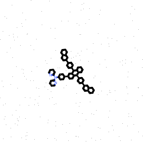 c1ccc(N(c2ccc(-c3ccc4c(-c5ccc(-c6ccc7ccccc7c6)cc5)c5ccccc5c(-c5ccc(-c6ccc7ccccc7c6)cc5)c4c3)cc2)c2ccccn2)nc1